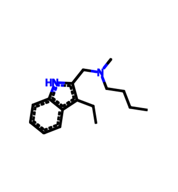 CCCCN(C)Cc1[nH]c2ccccc2c1CC